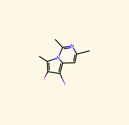 Cc1cc2c(I)c(I)c(C)n2c(C)n1